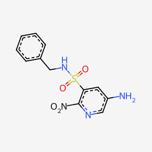 Nc1cnc([N+](=O)[O-])c(S(=O)(=O)NCc2ccccc2)c1